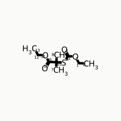 CCOC(=O)SC(C)(C)C(=O)OCC